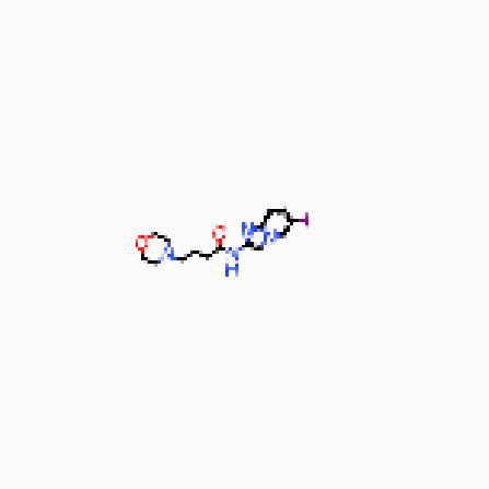 O=C(CCCN1CCOCC1)Nc1cn2cc(I)ccc2n1